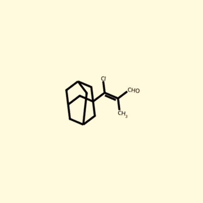 CC(C=O)=C(Cl)C12CC3CC(CC(C3)C1)C2